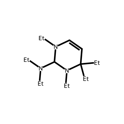 CCN1C=CC(CC)(CC)N(CC)C1N(CC)CC